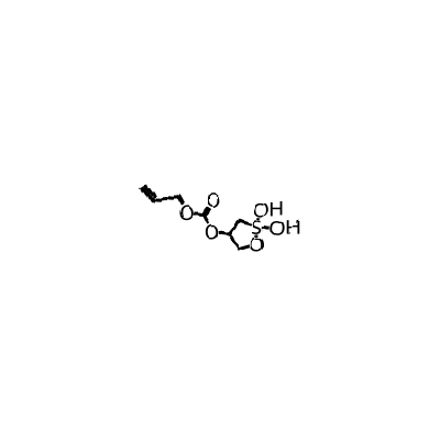 C=CCOC(=O)OC1COS(O)(O)C1